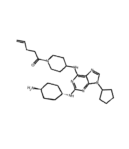 C=CCCC(=O)N1CCC(Nc2nc(N[C@H]3CC[C@H](N)CC3)nc3c2ncn3C2CCCC2)CC1